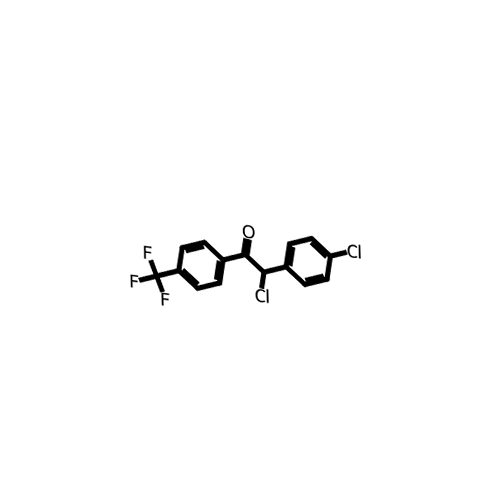 O=C(c1ccc(C(F)(F)F)cc1)C(Cl)c1ccc(Cl)cc1